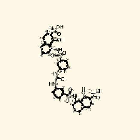 O=C(Nc1cccc(S(=O)(=O)Nc2cccc3ccc(S(=O)(=O)O)c(O)c23)c1)Nc1cccc(S(=O)(=O)Nc2cccc3ccc(S(=O)(=O)O)c(O)c23)c1